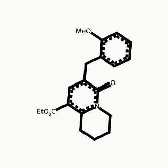 CCOC(=O)c1cc(Cc2ccccc2OC)c(=O)n2c1CCCC2